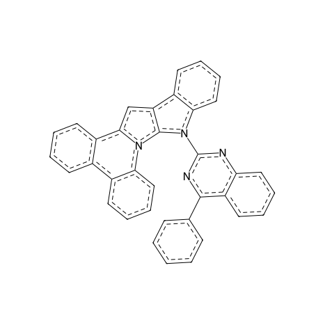 c1ccc(-c2nc(-n3c4ccccc4c4cc5c6ccccc6c6ccccc6n5c43)nc3ccccc23)cc1